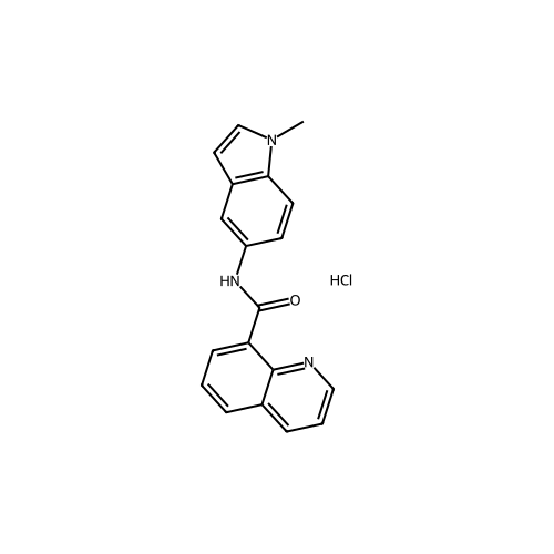 Cl.Cn1ccc2cc(NC(=O)c3cccc4cccnc34)ccc21